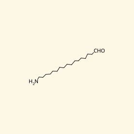 NCCCCCCCCCCCCCCCCC=O